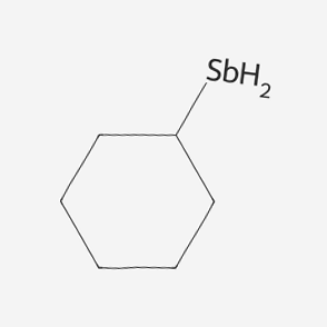 [SbH2][CH]1CCCCC1